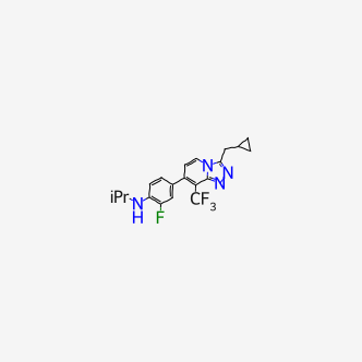 CC(C)Nc1ccc(-c2ccn3c(CC4CC4)nnc3c2C(F)(F)F)cc1F